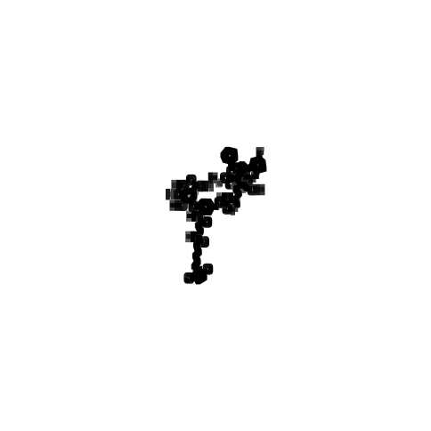 CC(C)(C)[C@H](c1nc(-c2cc(F)ccc2F)cn1Cc1ccccc1)N(CC[C@@H](CF)NC(=O)OCc1ccc(O[C@@H]2C[C@H](C(=O)O)[C@@H](O)[C@H](O)[C@H]2O)c(NC(=O)CCNC(=O)CCCCCN2C(=O)C=CC2=O)c1)C(=O)CO